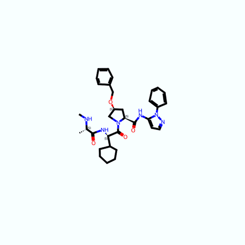 CN[C@@H](C)C(=O)N[C@H](C(=O)N1C[C@@H](OCc2ccccc2)C[C@H]1C(=O)Nc1ccnn1-c1ccccc1)C1CCCCC1